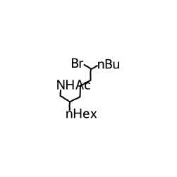 CCCCCCC(CCCC(Br)CCCC)CNC(C)=O